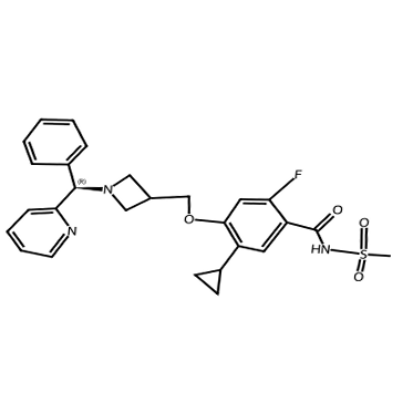 CS(=O)(=O)NC(=O)c1cc(C2CC2)c(OCC2CN([C@H](c3ccccc3)c3ccccn3)C2)cc1F